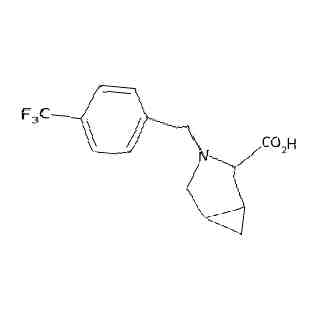 O=C(O)C1C2CC2CN1Cc1ccc(C(F)(F)F)cc1